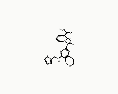 Cc1nc2c(C(N)=O)cccn2c1-c1nc2c(c(NCc3cccs3)n1)COCC2